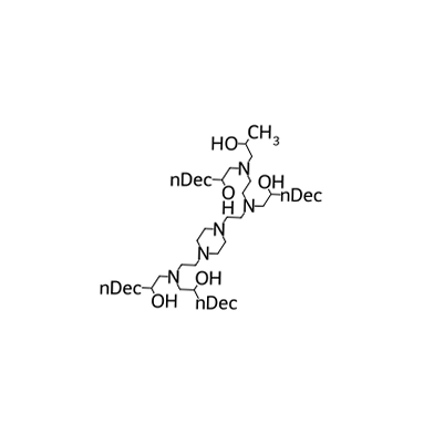 CCCCCCCCCCC(O)CN(CCN1CCN(CCN(CC(O)CCCCCCCCCC)CC(O)CCCCCCCCCC)CC1)CCN(CC(C)O)CC(O)CCCCCCCCCC